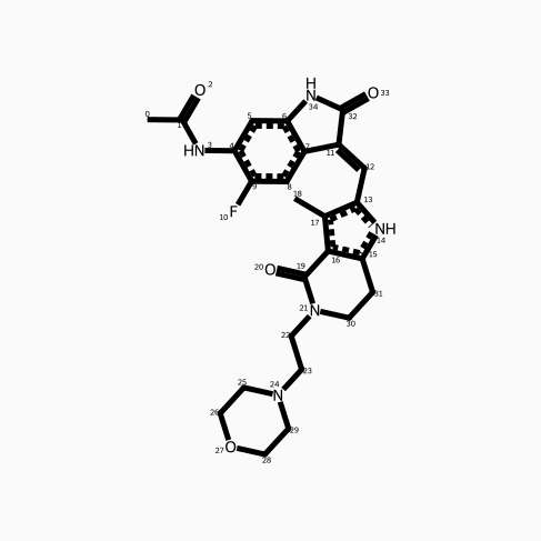 CC(=O)Nc1cc2c(cc1F)/C(=C\c1[nH]c3c(c1C)C(=O)N(CCN1CCOCC1)CC3)C(=O)N2